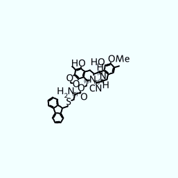 COc1c(C)cc2c(c1O)[C@H]1C3Cc4c(O)c(C)c5c(c4[C@H](COC(=O)[C@@H](N)CSCC4c6ccccc6-c6ccccc64)N3[C@@H](C#N)[C@H](C2)N1C)OCO5